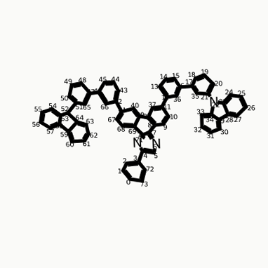 c1ccc(-c2cnc3c4ccc(-c5cccc(-c6cccc(-n7c8ccccc8c8ccccc87)c6)c5)cc4c4cc(-c5cccc(-c6cccc(C7c8ccccc8-c8ccccc87)c6)c5)ccc4c3n2)cc1